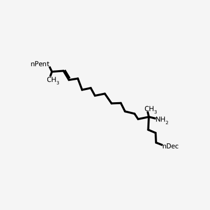 CCCCCCCCCCCCCC(C)(N)CCCCCCCCCC/C=C/C(C)CCCCC